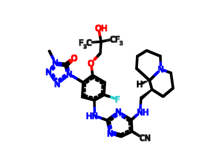 Cn1nnn(-c2cc(Nc3ncc(C#N)c(NC[C@@H]4CCCN5CCCC[C@H]45)n3)c(F)cc2OCC(O)(C(F)(F)F)C(F)(F)F)c1=O